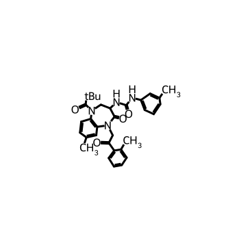 Cc1cccc(NC(=O)NC2CN(C(=O)C(C)(C)C)c3ccc(C)cc3N(CC(=O)c3ccccc3C)C2=O)c1